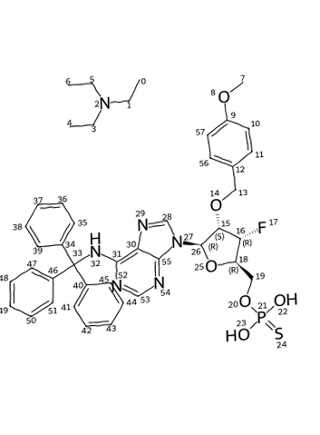 CCN(CC)CC.COc1ccc(CO[C@@H]2[C@H](F)[C@@H](COP(O)(O)=S)O[C@H]2n2cnc3c(NC(c4ccccc4)(c4ccccc4)c4ccccc4)ncnc32)cc1